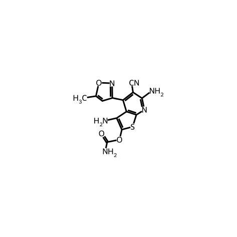 Cc1cc(-c2c(C#N)c(N)nc3sc(OC(N)=O)c(N)c23)no1